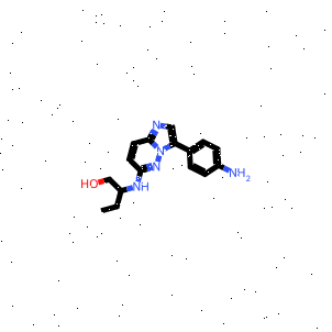 CCC(CO)Nc1ccc2ncc(-c3ccc(N)cc3)n2n1